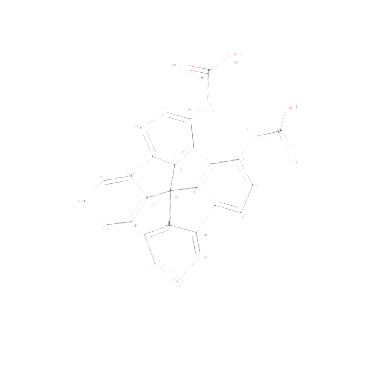 O=C(O)Oc1ccc2c(c1)C1(c3ccccc3-2)c2ccccc2-c2ccc(OC(=O)O)cc21